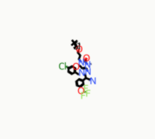 Cn1c(=O)n(CCCO[Si](C)(C)C(C)(C)C)c(=O)c2c1nc(C(C#N)c1cccc(OC(F)(F)F)c1)n2Cc1ccc(Cl)cc1